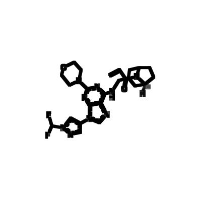 C=CC(=O)N1C2CC[C@H]1CC(CNc1nc(N3CCOCC3)nc3c1ncn3-c1cnn(C(F)F)c1)C2